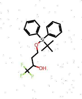 CC(C)(C)[Si](OCCC(O)C(F)(F)F)(c1ccccc1)c1ccccc1